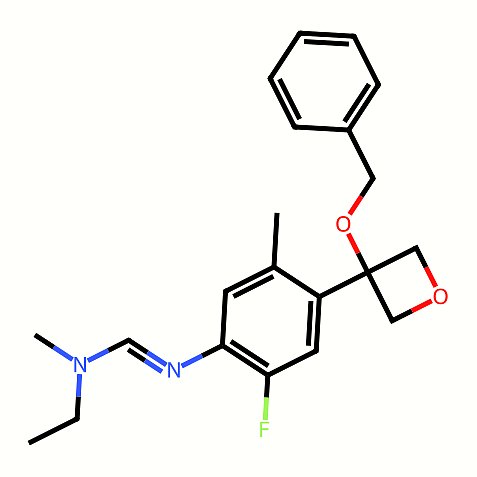 CCN(C)C=Nc1cc(C)c(C2(OCc3ccccc3)COC2)cc1F